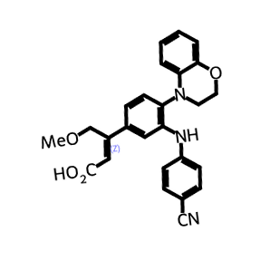 COC/C(=C\C(=O)O)c1ccc(N2CCOc3ccccc32)c(Nc2ccc(C#N)cc2)c1